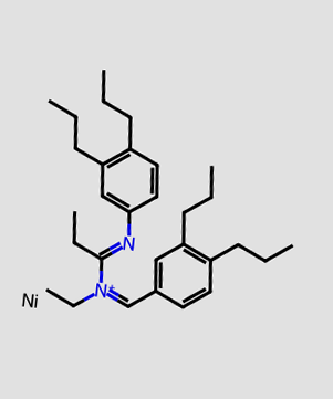 CCCc1ccc(C=[N+](CC)C(CC)=Nc2ccc(CCC)c(CCC)c2)cc1CCC.[Ni]